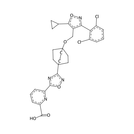 O=C(O)c1cccc(-c2nc(C34CCC(OCc5c(-c6c(Cl)cccc6Cl)noc5C5CC5)(CC3)CC4)no2)n1